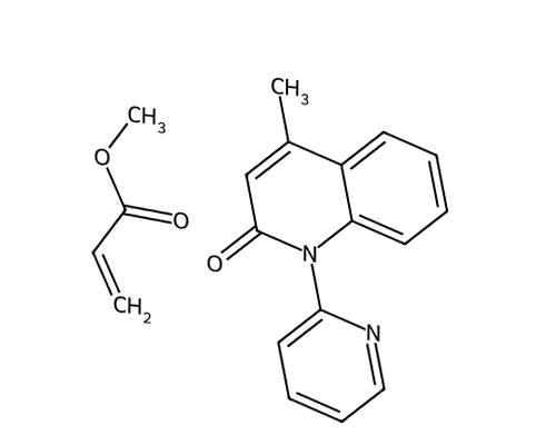 C=CC(=O)OC.Cc1cc(=O)n(-c2ccccn2)c2ccccc12